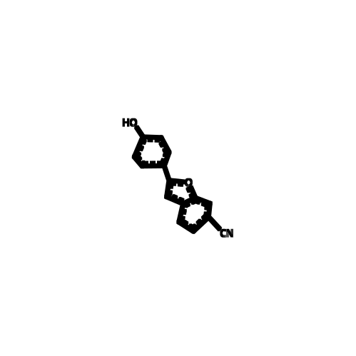 N#Cc1ccc2cc(-c3ccc(O)cc3)oc2c1